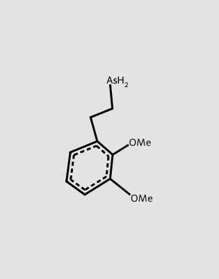 COc1cccc(CC[AsH2])c1OC